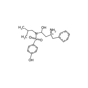 CC(C)CN(C(O)C[C@@H](N)Cc1ccccc1)S(=O)(=O)c1ccc(O)cc1